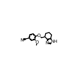 COc1cc(C#N)ccc1OCC1CCCc2[nH]cnc21